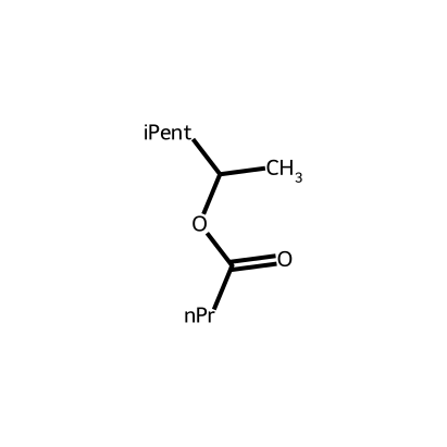 CCCC(=O)OC(C)C(C)CCC